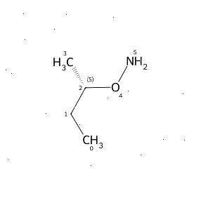 CC[C@H](C)ON